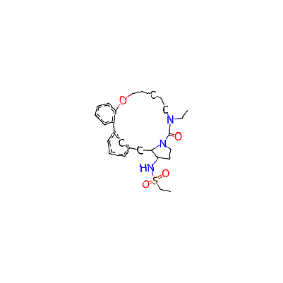 CCN1CCCCCOc2ccccc2-c2cccc(c2)CC2C(NS(=O)(=O)CC)CCN2C1=O